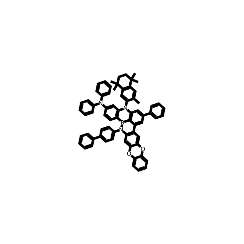 Cc1cc2c(cc1N1c3cc(N(c4ccccc4)c4ccccc4)ccc3B3c4c(cc(-c5ccccc5)cc41)-c1cc4c(cc1N3c1ccc(-c3ccccc3)cc1)Oc1ccccc1O4)C(C)(C)CCC2(C)C